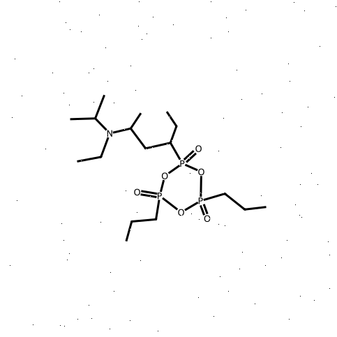 CCCP1(=O)OP(=O)(CCC)OP(=O)(C(CC)CC(C)N(CC)C(C)C)O1